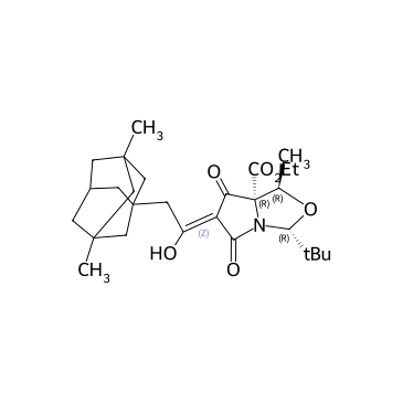 CCOC(=O)[C@@]12C(=O)/C(=C(/O)CC34CC5CC(C)(CC(C)(C5)C3)C4)C(=O)N1[C@@H](C(C)(C)C)O[C@@H]2C